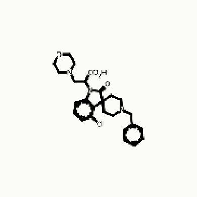 O=C(O)C(CN1CCOCC1)N1C(=O)C2(CCN(Cc3ccccc3)CC2)c2c(Cl)cccc21